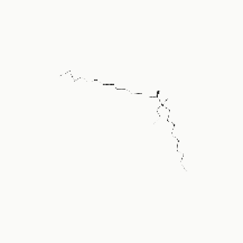 CCCCCCCCCCCCOC(=O)C(C)(CCC)CCCCCCCCC